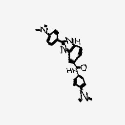 CN(C)c1ccc(NC(=O)c2ccc3[nH]c(-c4ccc(N(C)C)cc4)nc3c2)cc1